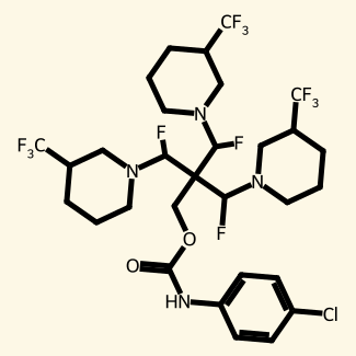 O=C(Nc1ccc(Cl)cc1)OCC(C(F)N1CCCC(C(F)(F)F)C1)(C(F)N1CCCC(C(F)(F)F)C1)C(F)N1CCCC(C(F)(F)F)C1